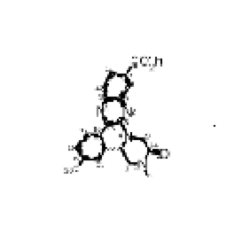 CN1CCN(c2nc3cc(C(=O)O)ccc3nc2-c2ccc(F)cc2)CC1=O